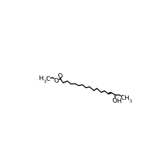 CCOC(=O)CCCCCCCCCCCCC=CC(O)CC